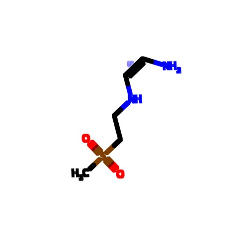 CS(=O)(=O)CCN/C=C\N